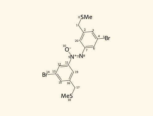 CSCc1cc(Br)cc(N=[N+]([O-])c2cc(Br)cc(CSC)c2)c1